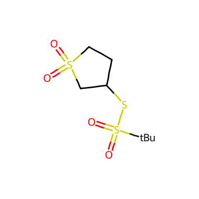 CC(C)(C)S(=O)(=O)SC1CCS(=O)(=O)C1